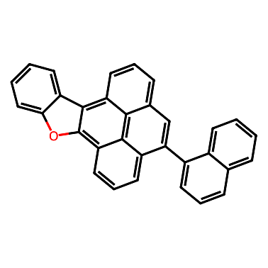 c1ccc2c(-c3cc4cccc5c6c7ccccc7oc6c6cccc3c6c45)cccc2c1